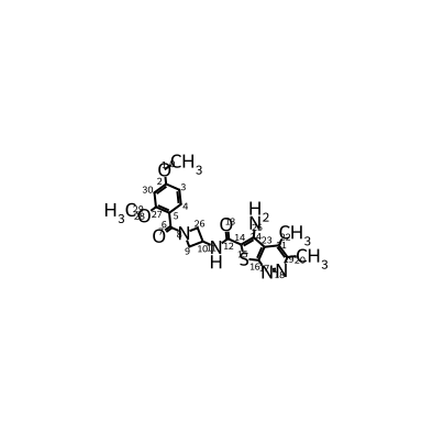 COc1ccc(C(=O)N2CC(NC(=O)c3sc4nnc(C)c(C)c4c3N)C2)c(OC)c1